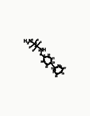 CC(C)(N)C(C)(C)NCc1ccc(-c2ncccn2)cc1